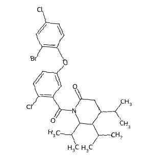 CC(C)C1CC(=O)N(C(=O)c2cc(Oc3ccc(Cl)cc3Br)ccc2Cl)C(C(C)C)C1C(C)C